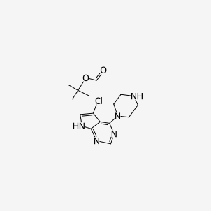 CC(C)(C)OC=O.Clc1c[nH]c2ncnc(N3CCNCC3)c12